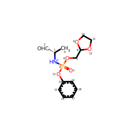 C[C@@H](C=O)NP(=O)(OCC1OCCO1)Oc1ccccc1